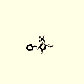 O=COc1cc(=O)c(OCc2ccccc2)cn1CC(F)(F)F